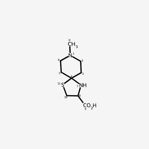 CN1CCC2(CC1)NC(C(=O)O)CS2